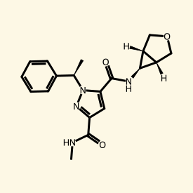 CNC(=O)c1cc(C(=O)N[C@H]2[C@@H]3COC[C@@H]32)n([C@H](C)c2ccccc2)n1